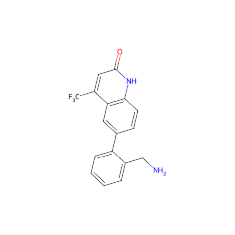 NCc1ccccc1-c1ccc2[nH]c(=O)cc(C(F)(F)F)c2c1